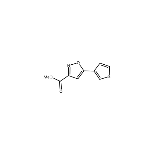 COC(=O)c1cc(-c2ccsc2)on1